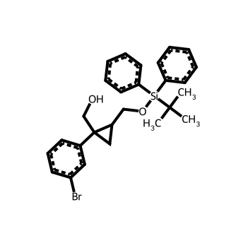 CC(C)(C)[Si](OCC1CC1(CO)c1cccc(Br)c1)(c1ccccc1)c1ccccc1